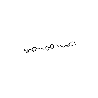 N#CC=CC=CCCC1CCC(C2CCC(CCCCc3ccc(C#N)cc3)CC2)CC1